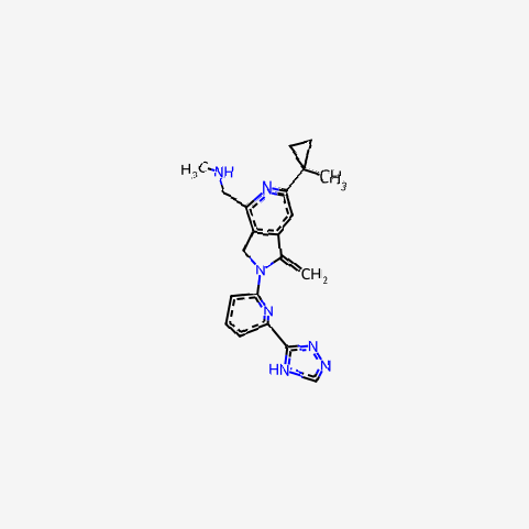 C=C1c2cc(C3(C)CC3)nc(CNC)c2CN1c1cccc(-c2nnc[nH]2)n1